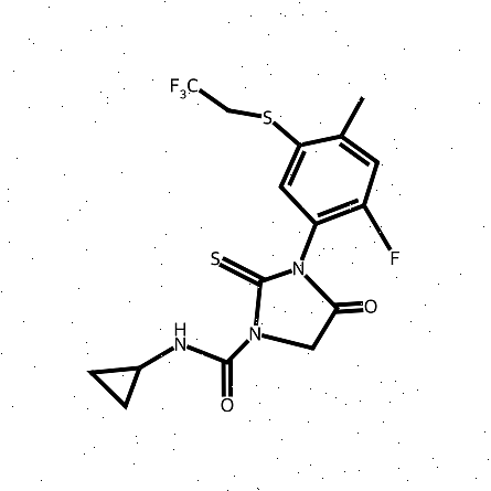 Cc1cc(F)c(N2C(=O)CN(C(=O)NC3CC3)C2=S)cc1SCC(F)(F)F